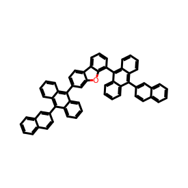 c1ccc2cc(-c3c4ccccc4c(-c4ccc5c(c4)oc4c(-c6c7ccccc7c(-c7ccc8ccccc8c7)c7ccccc67)cccc45)c4ccccc34)ccc2c1